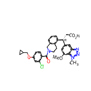 COc1cc([C@@H](CC(=O)O)c2cccc3c2CCN(C(=O)c2ccc(OCC4CC4)cc2Cl)C3)cc2nnn(C)c12